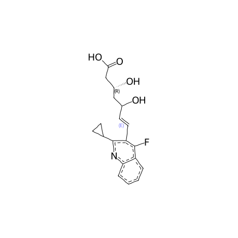 O=C(O)C[C@H](O)CC(O)/C=C/c1c(C2CC2)nc2ccccc2c1F